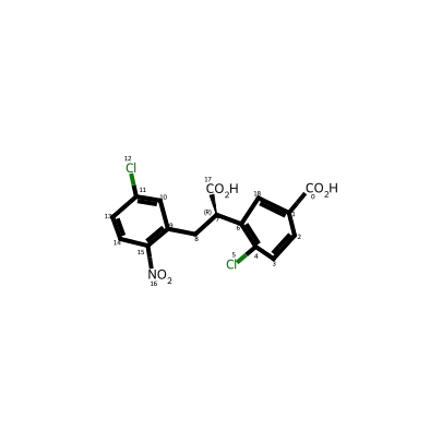 O=C(O)c1ccc(Cl)c([C@@H](Cc2cc(Cl)ccc2[N+](=O)[O-])C(=O)O)c1